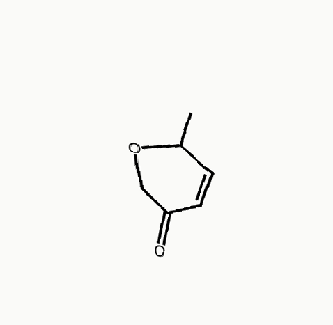 CC1C=CC(=O)CO1